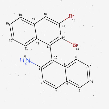 Nc1ccc2ccccc2c1-c1c(Br)c(Br)cc2ccccc12